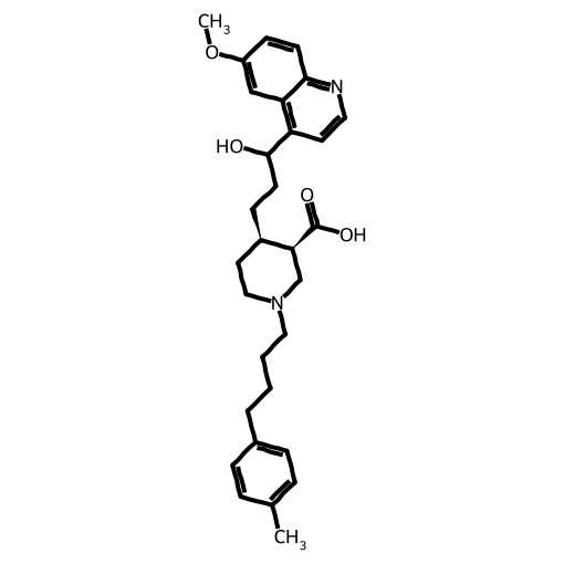 COc1ccc2nccc(C(O)CC[C@@H]3CCN(CCCCc4ccc(C)cc4)C[C@@H]3C(=O)O)c2c1